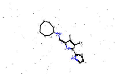 CCC1=C(C)/C(=C\NC2CCCCCCC2)N=C1c1ccc[nH]1